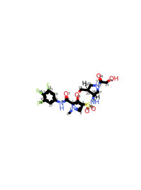 Cn1cc2c(c1C(=O)Nc1cc(F)c(F)c(F)c1)OC[C@H]1CN(C(=O)CO)C[C@H]1NS2(=O)=O